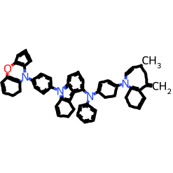 C=C1CC(C)/C=C\N(C2=CC=C(N(c3ccccc3)c3cccc4c3c3c(n4-c4ccc(N5C6=C(C=C=C6)OC6=C5CCC=C6)cc4)C=CCC3)CC2)C2=C1C=CCC2